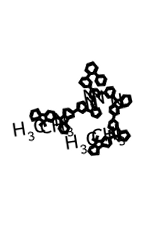 CC1(C)c2ccccc2-c2ccc(-n3c4ccccc4c4cc(-c5ccc6c(c5)c5ccccc5n6-c5cccc(-c6cc(-c7cccc(-c8ccccc8-c8ccccc8)c7)nc(-n7c8ccccc8c8cc(-c9ccc%10c(c9)c9ccccc9n%10-c9ccc%10c(c9)C(C)(C)c9ccccc9-%10)ccc87)n6)c5)ccc43)cc21